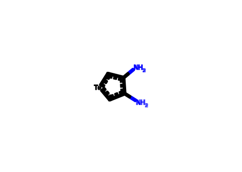 Nc1c[te]cc1N